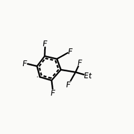 CCC(F)(F)c1c(F)[c]c(F)c(F)c1F